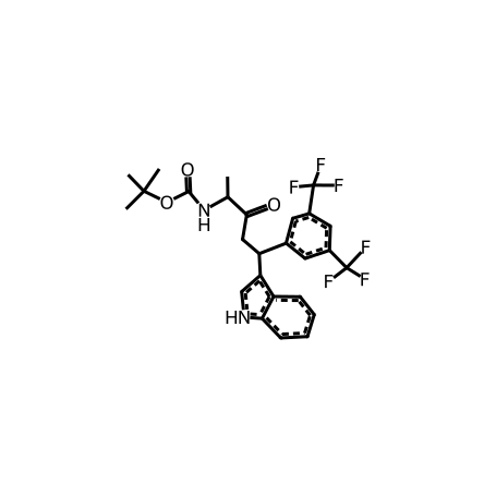 CC(NC(=O)OC(C)(C)C)C(=O)CC(c1cc(C(F)(F)F)cc(C(F)(F)F)c1)c1c[nH]c2ccccc12